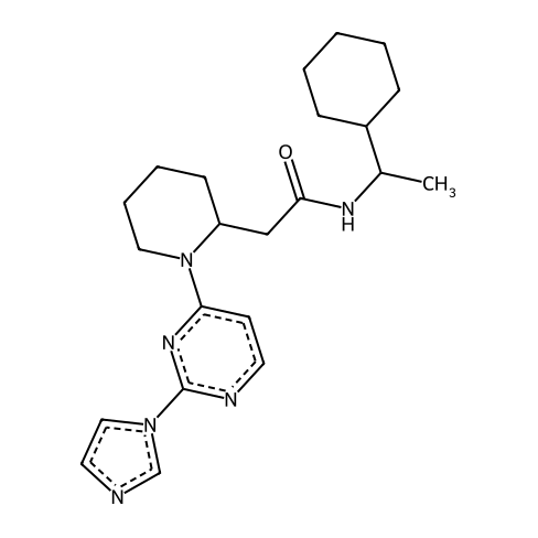 CC(NC(=O)CC1CCCCN1c1ccnc(-n2ccnc2)n1)C1CCCCC1